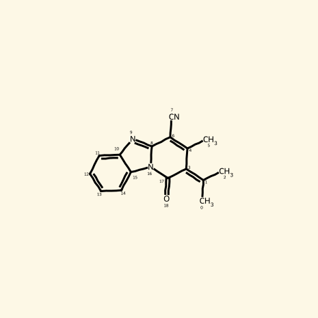 CC(C)=c1c(C)c(C#N)c2nc3ccccc3n2c1=O